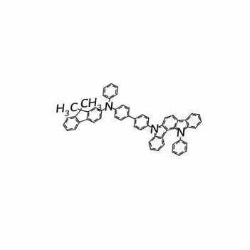 CC1(C)c2ccccc2-c2ccc(N(c3ccccc3)c3ccc(-c4ccc(-n5c6ccccc6c6c5ccc5c7ccccc7n(-c7ccccc7)c56)cc4)cc3)cc21